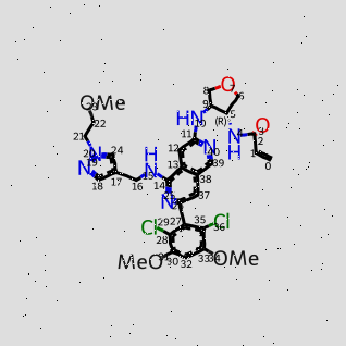 C=CC(=O)N[C@H]1COCC1Nc1cc2c(NCc3cnn(CCOC)c3)nc(-c3c(Cl)c(OC)cc(OC)c3Cl)cc2cn1